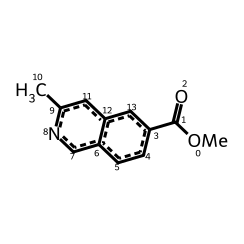 COC(=O)c1ccc2cnc(C)cc2c1